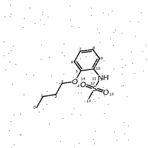 CCC[CH]Oc1ccccc1NS(C)(=O)=O